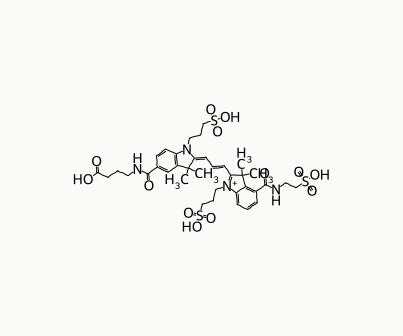 CC1(C)C(/C=C/C=C2/N(CCCS(=O)(=O)O)c3ccc(C(=O)NCCCC(=O)O)cc3C2(C)C)=[N+](CCCS(=O)(=O)O)c2cccc(C(=O)NCCS(=O)(=O)O)c21